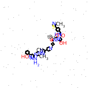 Cc1ncsc1-c1ccc(CNC(=O)[C@@H]2C[C@@H](O)CN2C(=O)[C@@H](NC(=O)[C@H]2C[C@H](CN3CCC(c4cnc(N5C(C)CN(c6cc(-c7ccccc7O)nnc6N)CC5C)nc4)CC3)C2)C(C)(C)C)cc1